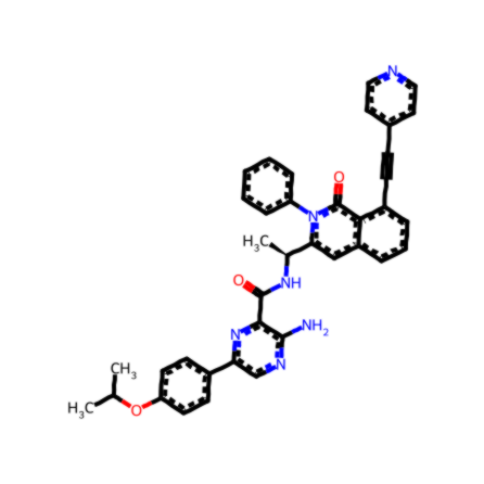 CC(C)Oc1ccc(-c2cnc(N)c(C(=O)N[C@@H](C)c3cc4cccc(C#Cc5ccncc5)c4c(=O)n3-c3ccccc3)n2)cc1